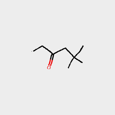 [CH2]CC(=O)CC(C)(C)C